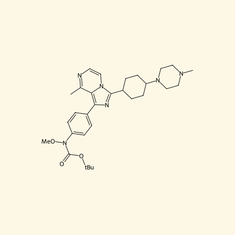 CON(C(=O)OC(C)(C)C)c1ccc(-c2nc(C3CCC(N4CCN(C)CC4)CC3)n3ccnc(C)c23)cc1